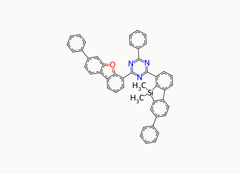 C[Si]1(C)c2cc(-c3ccccc3)ccc2-c2cccc(-c3nc(-c4ccccc4)nc(-c4cccc5c4oc4cc(-c6ccccc6)ccc45)n3)c21